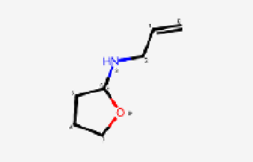 C=CCN[C]1CCCO1